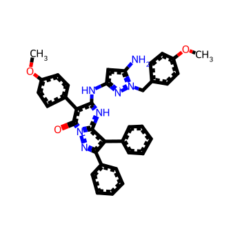 COc1ccc(Cn2nc(Nc3[nH]c4c(-c5ccccc5)c(-c5ccccc5)nn4c(=O)c3-c3ccc(OC)cc3)cc2N)cc1